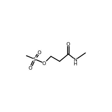 CNC(=O)CCOS(C)(=O)=O